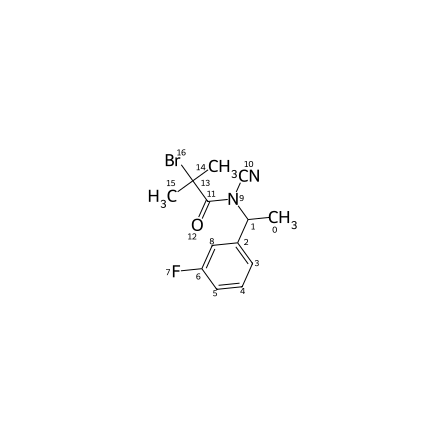 CC(c1cccc(F)c1)N(C#N)C(=O)C(C)(C)Br